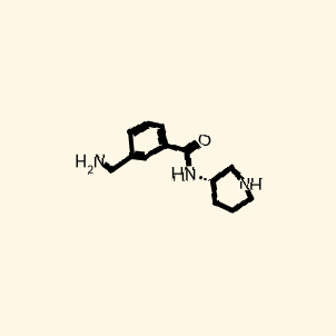 NCc1cccc(C(=O)N[C@H]2CCCNC2)c1